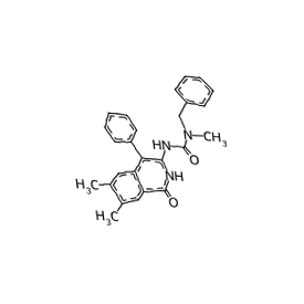 Cc1cc2c(-c3ccccc3)c(NC(=O)N(C)Cc3ccccc3)[nH]c(=O)c2cc1C